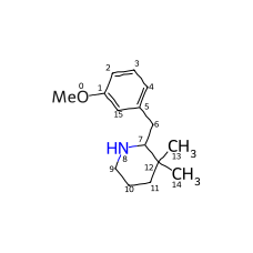 COc1cccc(CC2NCCCC2(C)C)c1